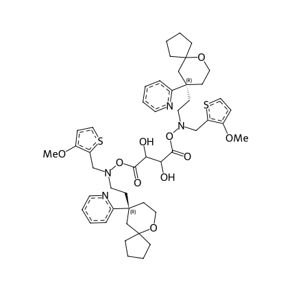 COc1ccsc1CN(CC[C@@]1(c2ccccn2)CCOC2(CCCC2)C1)OC(=O)C(O)C(O)C(=O)ON(CC[C@@]1(c2ccccn2)CCOC2(CCCC2)C1)Cc1sccc1OC